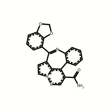 NC(=O)c1cnn2ccc3c2c1-c1ccccc1N=C3c1cccc2c1OCO2